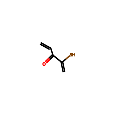 C=CC(=O)C(=C)S